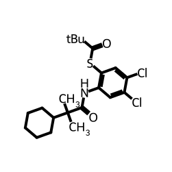 CC(C)(C)C(=O)Sc1cc(Cl)c(Cl)cc1NC(=O)C(C)(C)C1CCCCC1